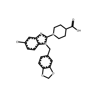 O=C(O)C1CCN(c2nc3cc(Cl)ccc3n2Cc2ccc3c(c2)OCO3)CC1